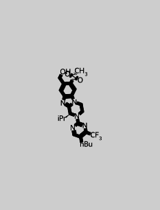 CCCCc1cnc(N2CCn3c(nc4cc(CO)c(S(C)(=O)=O)cc43)[C@H]2C(C)C)nc1C(F)(F)F